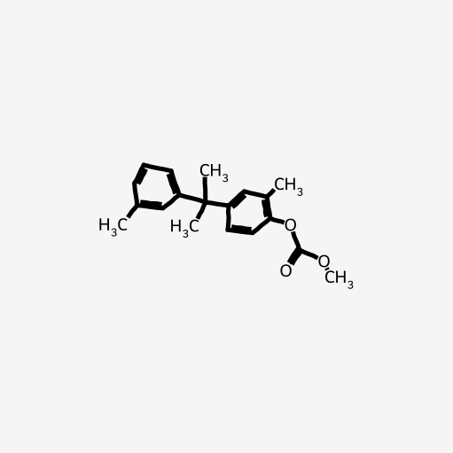 COC(=O)Oc1ccc(C(C)(C)c2cccc(C)c2)cc1C